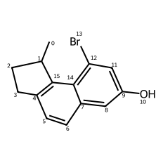 CC1CCc2ccc3cc(O)cc(Br)c3c21